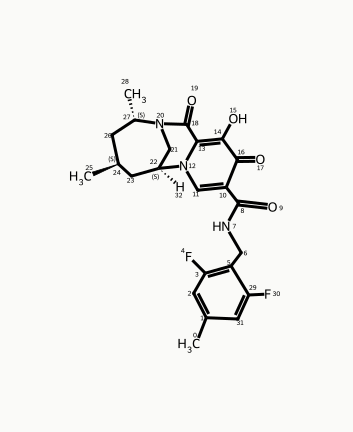 Cc1cc(F)c(CNC(=O)c2cn3c(c(O)c2=O)C(=O)N2C[C@@H]3C[C@@H](C)C[C@@H]2C)c(F)c1